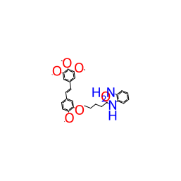 COc1ccc(C=Cc2cc(OC)c(OC)c(OC)c2)cc1OCCCCC(=O)Nc1ccccc1N